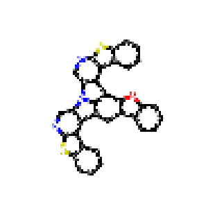 c1ccc2c(c1)oc1c2cc2c3c4c(ncc3n3c5cnc6sc7ccccc7c6c5c1c23)sc1ccccc14